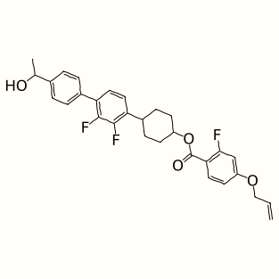 C=CCOc1ccc(C(=O)OC2CCC(c3ccc(-c4ccc(C(C)O)cc4)c(F)c3F)CC2)c(F)c1